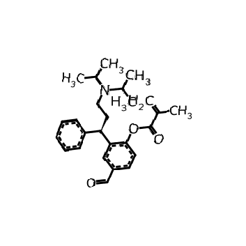 C=C(C)C(=O)Oc1ccc(C=O)cc1[C@H](CCN(C(C)C)C(C)C)c1ccccc1